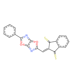 S=C1C(=Cc2nc3oc(-c4ccccc4)nc3o2)C(=S)c2ccccc21